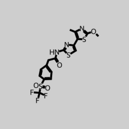 COc1nc(C)c(-c2csc(NC(=O)Cc3ccc(S(=O)(=O)C(F)(F)F)cc3)n2)s1